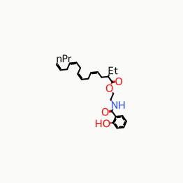 CCC/C=C\C/C=C\C/C=C\C/C=C\CC(CC)C(=O)OCCNC(=O)c1ccccc1O